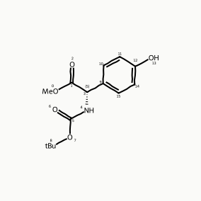 COC(=O)[C@@H](NC(=O)OC(C)(C)C)c1ccc(O)cc1